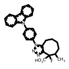 CC1CCCCc2c(nnn2-c2ccc(-n3c4ccccc4c4ccccc43)cc2)C1(F)C(=O)O